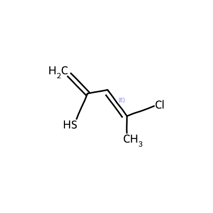 C=C(S)/C=C(\C)Cl